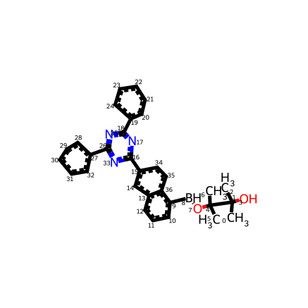 CC(C)(O)C(C)(C)OBc1cccc2cc(-c3nc(-c4ccccc4)nc(-c4ccccc4)n3)ccc12